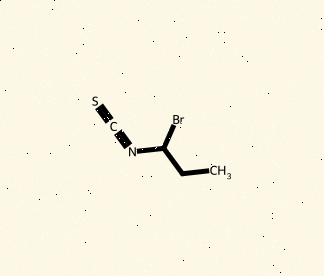 CCC(Br)N=C=S